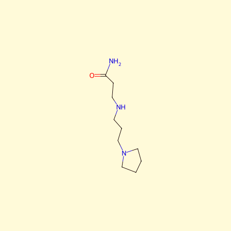 NC(=O)CCNCCCN1CCCC1